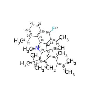 C#CC1(/C(C=C)=C(\C)C=C(C)C)C(/C(=C/C)CF)C(c2ccccc2CC)N(C)C1CC(C)(C)C